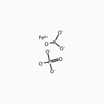 O=P([O-])([O-])[O-].[Fe+6].[O-]B([O-])[O-]